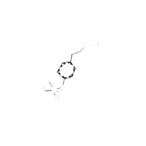 CCOC(=O)CCc1ccc(O[Si](C)(C)C(C)(C)C)cc1